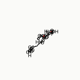 CC(C)(C)[C@H](NC(=O)c1cc2cc(C(F)(F)P(=O)(O)O)ccc2s1)C(=O)N1C[C@@H](OCC(=O)NCCCCCC#Cc2ccc3c(c2)C(=O)N(C2CCC(=O)NC2=O)C3=O)C[C@H]1C(=O)N1CCO[C@H](c2ccccc2)C1